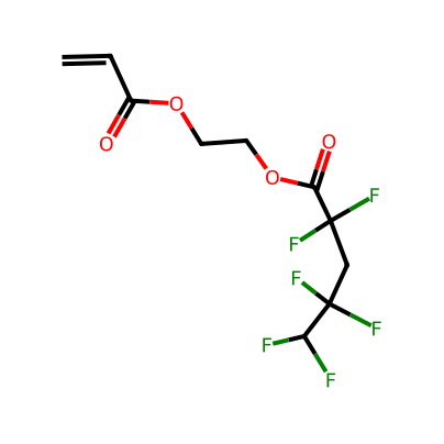 C=CC(=O)OCCOC(=O)C(F)(F)CC(F)(F)C(F)F